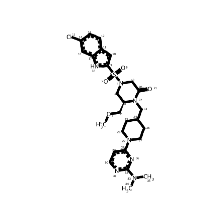 COC[C@H]1CN(S(=O)(=O)c2cc3ccc(Cl)cc3[nH]2)CC(=O)N1CC1CCN(c2ccnc(N(C)C)n2)CC1